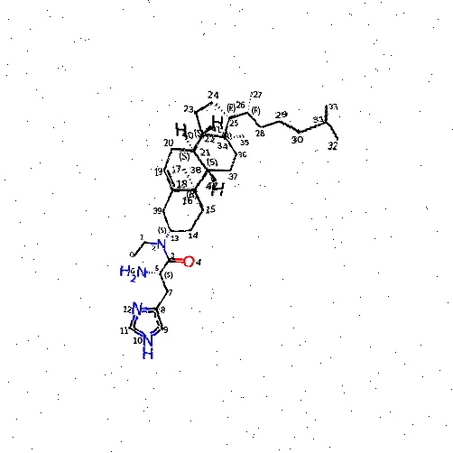 CCN(C(=O)[C@@H](N)Cc1c[nH]cn1)[C@H]1CC[C@@]2(C)C(=CC[C@H]3[C@@H]4CC[C@H]([C@H](C)CCCC(C)C)[C@@]4(C)CC[C@@H]32)C1